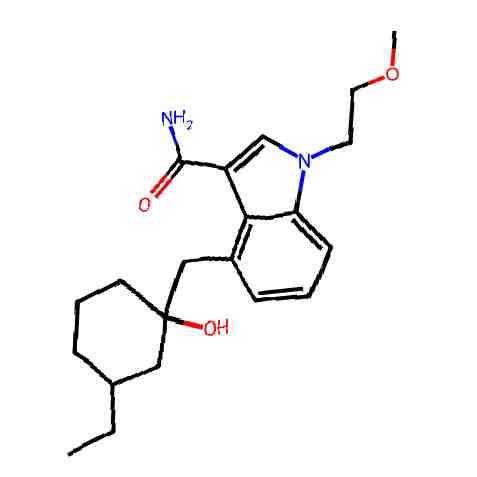 CCC1CCCC(O)(Cc2cccc3c2c(C(N)=O)cn3CCOC)C1